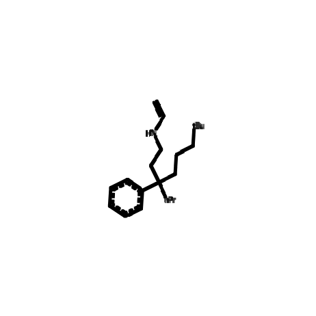 C=CNCCC(CCC)(CCCC(C)(C)C)c1ccccc1